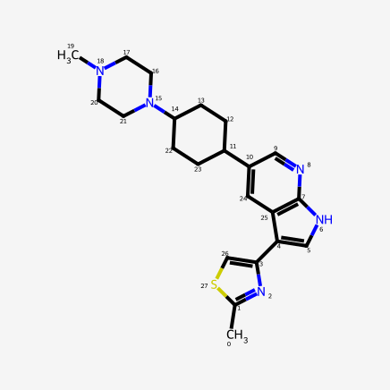 Cc1nc(-c2c[nH]c3ncc(C4CCC(N5CCN(C)CC5)CC4)cc23)cs1